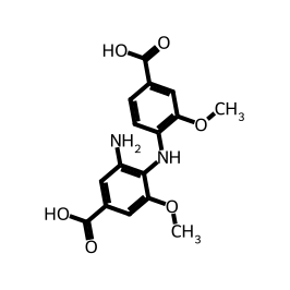 COc1cc(C(=O)O)ccc1Nc1c(N)cc(C(=O)O)cc1OC